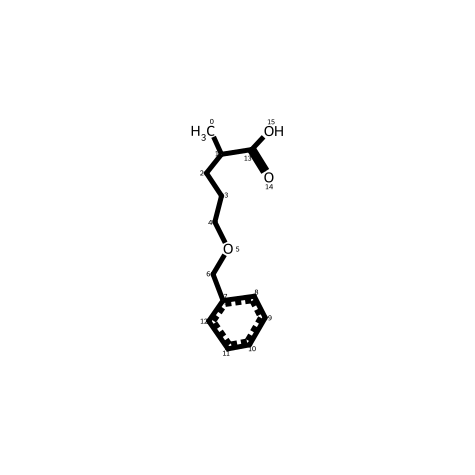 CC(CCCOCc1ccccc1)C(=O)O